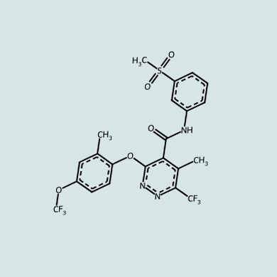 Cc1cc(OC(F)(F)F)ccc1Oc1nnc(C(F)(F)F)c(C)c1C(=O)Nc1cccc(S(C)(=O)=O)c1